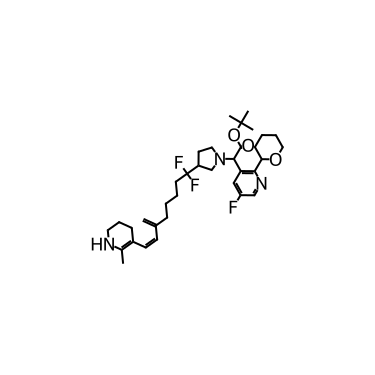 C=C(/C=C\C1=C(C)NCCC1)CCCCC(F)(F)C1CCN(C(C(=O)OC(C)(C)C)c2cc(F)cnc2C2CCCCO2)C1